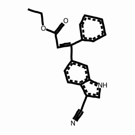 CCOC(=O)/C=C(\c1ccccc1)c1ccc2c(C#N)c[nH]c2c1